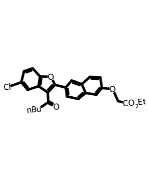 CCCCC(=O)c1c(-c2ccc3cc(OCC(=O)OCC)ccc3c2)oc2ccc(Cl)cc12